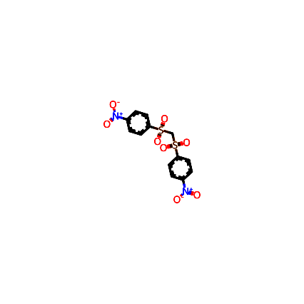 O=[N+]([O-])c1ccc(S(=O)(=O)CS(=O)(=O)c2ccc([N+](=O)[O-])cc2)cc1